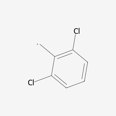 [CH2]c1c(Cl)cccc1Cl